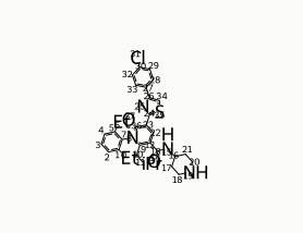 CCc1cccc(CC)c1-n1c(CC(C)C)c(C(=O)NC2CCNCC2)cc(-c2nc(-c3ccc(Cl)cc3)cs2)c1=O